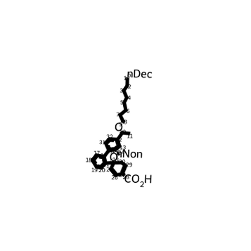 CCCCCCCCCCCCCCCCCCOC(C)c1ccc(-c2ccccc2C2(OCCCCCCCCC)C=CC(C(=O)O)=CC2)cc1